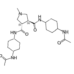 CC(=O)NC1CCC(NC(=O)[C@@H]2CN(C)C[C@H]2C(=O)NC2CCC(NC(C)=O)CC2)CC1